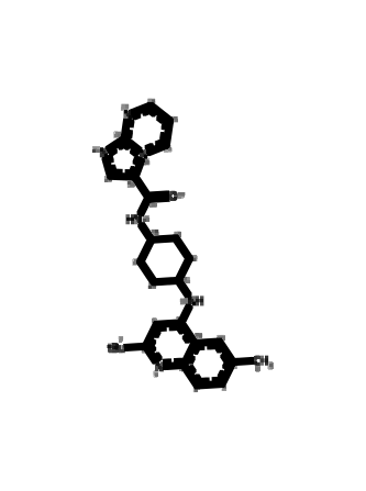 Cc1ccc2nc(C(C)(C)C)cc(NC3CCC(NC(=O)c4cnc5ncccn45)CC3)c2c1